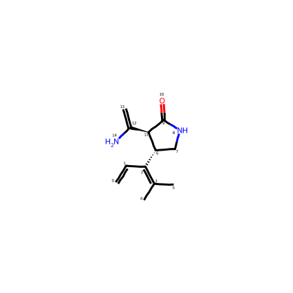 C=CC(=C(C)C)[C@H]1CNC(=O)[C@@H]1C(=C)N